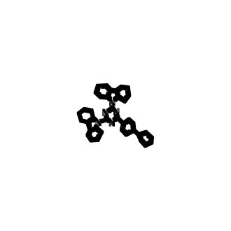 C1=Cc2c(c3ccccc3n2-c2nc(-c3ccc(-c4ccccc4)cc3)nc(-n3c4ccccc4c4ccccc43)n2)CC1